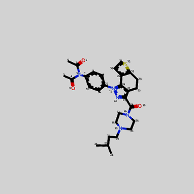 CC(=O)N(C(C)=O)c1ccc(-n2nc(C(=O)N3CCN(CCC(C)C)CC3)c3c2-c2ccsc2CC3)cc1